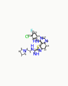 N=C(NCCN1CCCC1)c1nc2ccc3ncnc(Nc4ccc(F)c(Cl)c4)c3c2s1